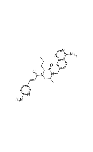 CCCC1C(=O)N(Cc2ccc3c(N)ncnc3c2)C(C)CN1C(=O)C=Cc1ccc(N)nc1